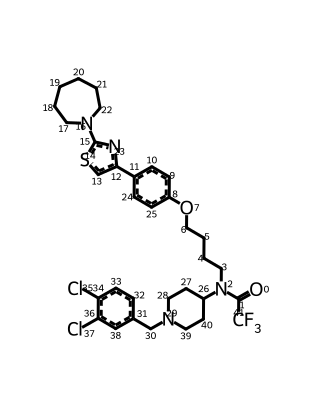 O=C(N(CCCCOc1ccc(-c2csc(N3CCCCCC3)n2)cc1)C1CCN(Cc2ccc(Cl)c(Cl)c2)CC1)C(F)(F)F